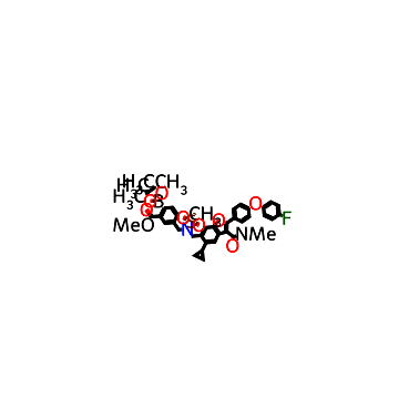 CNC(=O)c1c(-c2ccc(Oc3ccc(F)cc3)cc2)oc2cc(CN(Cc3ccc(B4OC(C)(C)C(C)(C)O4)c(C(=O)OC)c3)S(C)(=O)=O)c(C3CC3)cc12